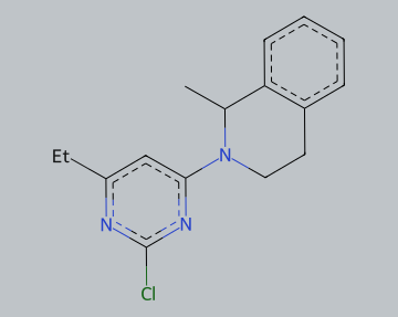 CCc1cc(N2CCc3ccccc3C2C)nc(Cl)n1